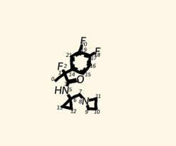 CC(F)(C(=O)NC1(CN2CCC2)CC1)c1ccc(F)c(F)c1